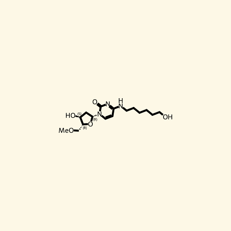 COC[C@H]1O[C@@H](n2ccc(NCCCCCCO)nc2=O)C[C@@H]1O